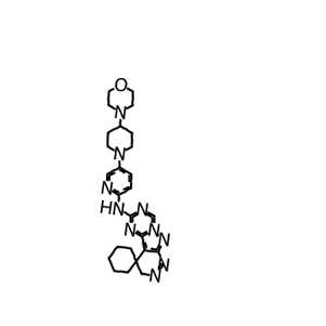 c1cc(Nc2ncn3nc4c(c3n2)C2(CCCCC2)CN=N4)ncc1N1CCC(N2CCOCC2)CC1